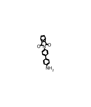 Nc1ccc(-c2ccc(N3C(=O)C4C5C=CC(C5)C4C3=O)cc2)cc1